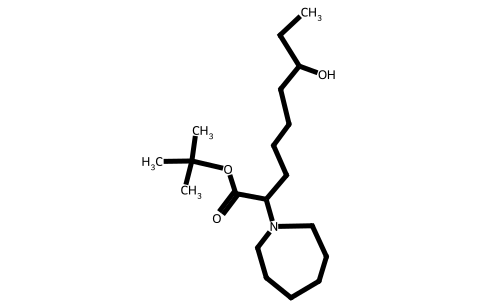 CCC(O)CCCCC(C(=O)OC(C)(C)C)N1CCCCCC1